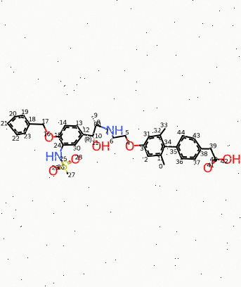 Cc1cc(OCCN[C@@H](C)[C@H](O)c2ccc(OCc3ccccc3)c(NS(C)(=O)=O)c2)cc(C)c1-c1ccc(CC(=O)O)cc1